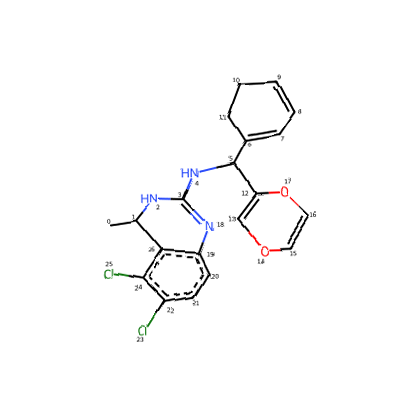 CC1NC(NC(C2=CC=CCC2)C2=COC=CO2)=Nc2ccc(Cl)c(Cl)c21